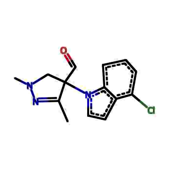 CC1=NN(C)CC1(C=O)n1ccc2c(Cl)cccc21